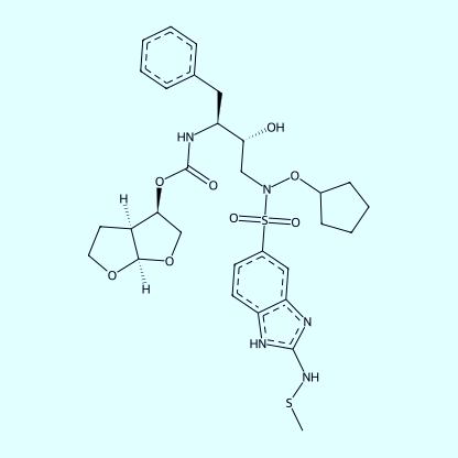 CSNc1nc2cc(S(=O)(=O)N(C[C@@H](O)[C@H](Cc3ccccc3)NC(=O)O[C@H]3CO[C@H]4OCC[C@H]43)OC3CCCC3)ccc2[nH]1